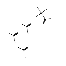 CC(=O)[O-].CC(=O)[O-].CC(=O)[O-].CC(C)(C)[C](=O)[Zr+3]